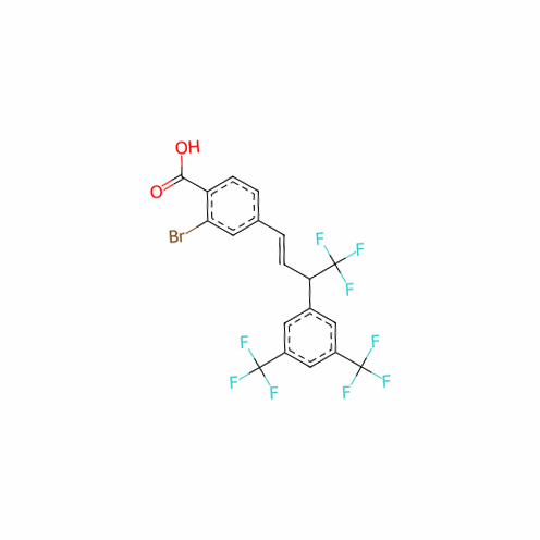 O=C(O)c1ccc(/C=C/C(c2cc(C(F)(F)F)cc(C(F)(F)F)c2)C(F)(F)F)cc1Br